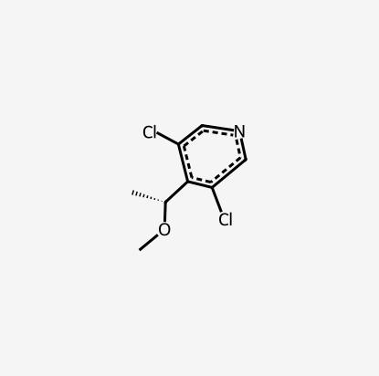 CO[C@H](C)c1c(Cl)cncc1Cl